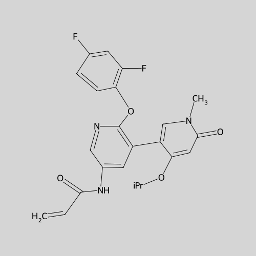 C=CC(=O)Nc1cnc(Oc2ccc(F)cc2F)c(-c2cn(C)c(=O)cc2OC(C)C)c1